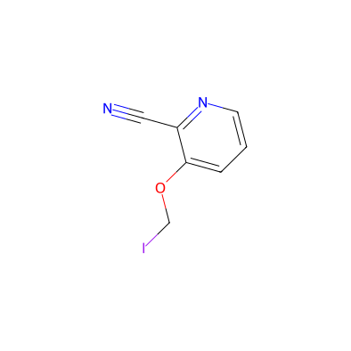 N#Cc1ncccc1OCI